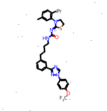 Cc1ccc(C(C)C)c(N2CCS/C2=N\C(=O)NCCCCc2cccc(-c3ncn(-c4ccc(OC(F)(F)F)cc4)n3)c2)c1